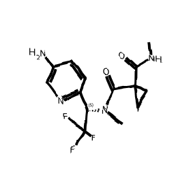 CNC(=O)C1(C(=O)N(C)[C@@H](c2ccc(N)cn2)C(F)(F)F)CC1